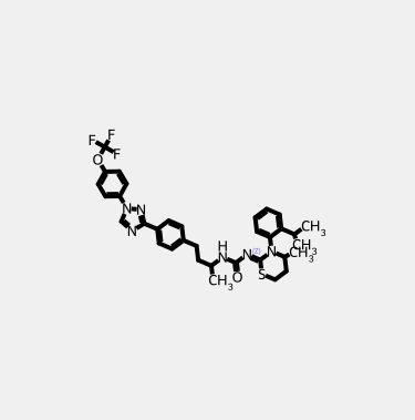 CC(CCc1ccc(-c2ncn(-c3ccc(OC(F)(F)F)cc3)n2)cc1)NC(=O)/N=C1\SCCC(C)N1c1ccccc1C(C)C